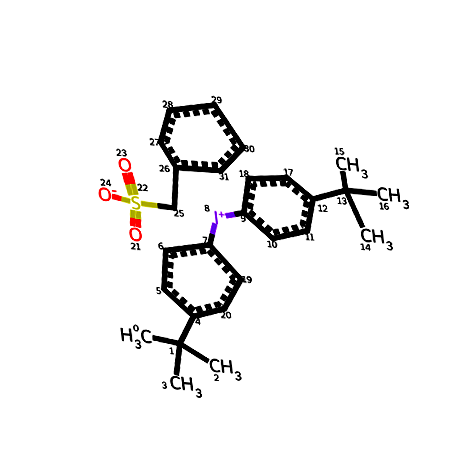 CC(C)(C)c1ccc([I+]c2ccc(C(C)(C)C)cc2)cc1.O=S(=O)([O-])Cc1ccccc1